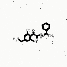 CCc1cc(CN)cc(CC)c1C(=O)C(=O)NN=C(C)c1ccccc1